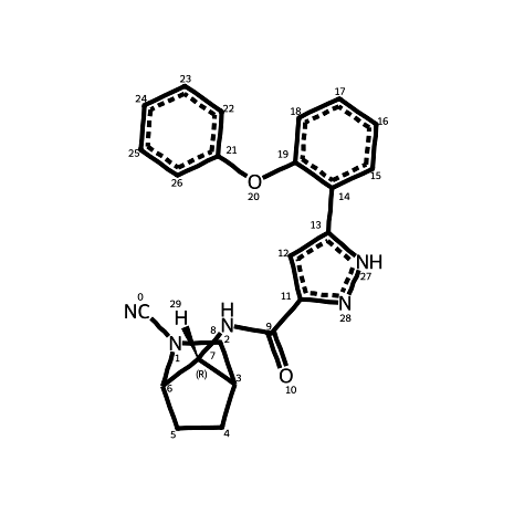 N#CN1CC2CCC1[C@@H]2NC(=O)c1cc(-c2ccccc2Oc2ccccc2)[nH]n1